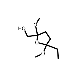 CCC1(OC)CCC(CO)(OC)O1